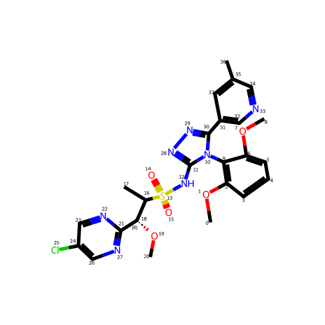 COc1cccc(OC)c1-n1c(NS(=O)(=O)C(C)[C@H](OC)c2ncc(Cl)cn2)nnc1-c1cncc(C)c1